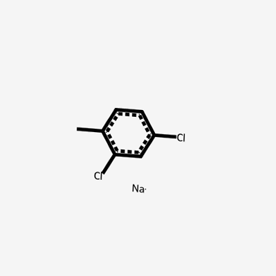 Cc1ccc(Cl)cc1Cl.[Na]